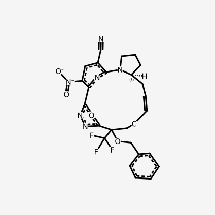 N#Cc1cc([N+](=O)[O-])c2nc1N1CCC[C@H]1CC=CCCC(OCc1ccccc1)(C(F)(F)F)c1nnc-2o1